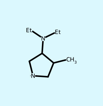 CCN(CC)C1C[N]CC1C